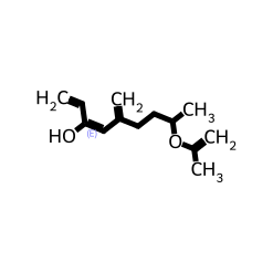 C=C/C(O)=C\C(=C)CCC(C)OC(=C)C